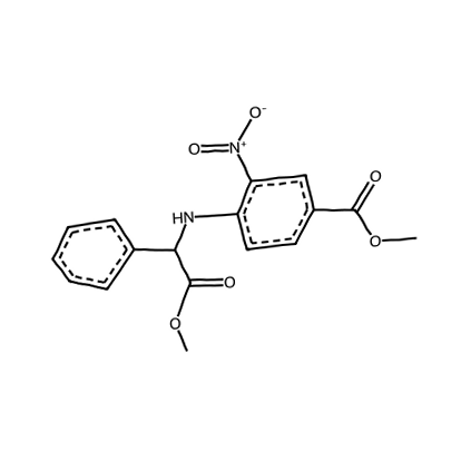 COC(=O)c1ccc(NC(C(=O)OC)c2ccccc2)c([N+](=O)[O-])c1